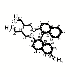 CCCCOc1ccc2ccccc2c1-c1c(OCCCC)ccc2cc(C)ccc12